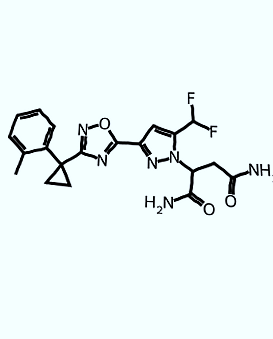 Cc1ccccc1C1(c2noc(-c3cc(C(F)F)n(C(CC(N)=O)C(N)=O)n3)n2)CC1